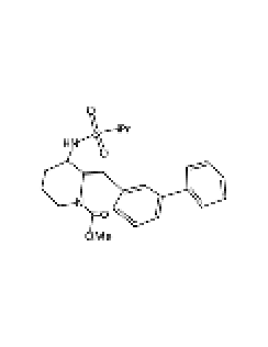 COC(=O)N1CCCC(NS(=O)(=O)C(C)C)C1Cc1cccc(-c2ccccc2)c1